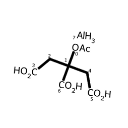 CC(=O)OC(CC(=O)O)(CC(=O)O)C(=O)O.[AlH3]